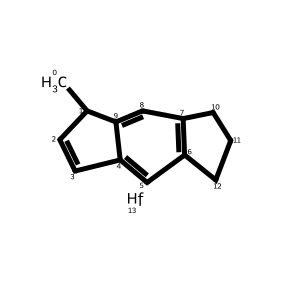 C[C]1C=Cc2cc3c(cc21)CCC3.[Hf]